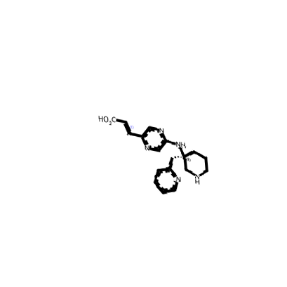 O=C(O)/C=C/c1cnc(N[C@@]2(Cc3ccccn3)CCCNC2)cn1